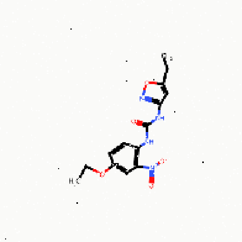 CCOc1ccc(NC(=O)Nc2cc(CC)on2)c([N+](=O)[O-])c1